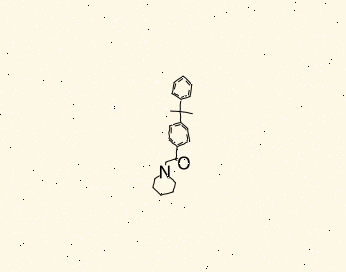 CC(C)(c1ccccc1)c1ccc(C(=O)CN2CCCCC2)cc1